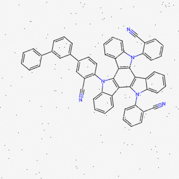 N#Cc1ccccc1-n1c2ccccc2c2c1c1c3ccccc3n(-c3ccc(-c4cccc(-c5ccccc5)c4)cc3C#N)c1c1c3ccccc3n(-c3ccccc3C#N)c21